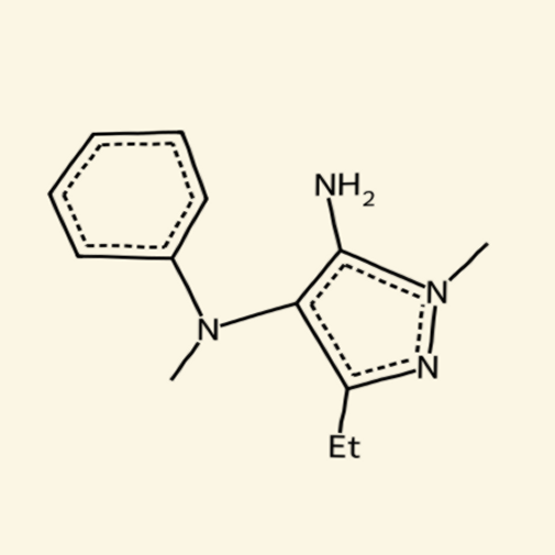 CCc1nn(C)c(N)c1N(C)c1ccccc1